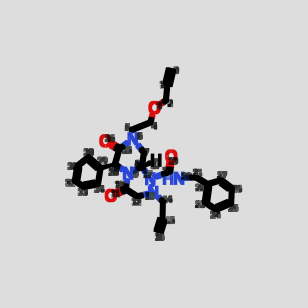 C#CCOCCN1C[C@H]2N(C(=O)CN(CC#C)N2C(=O)NCc2ccccc2)[C@@H](c2ccccc2)C1=O